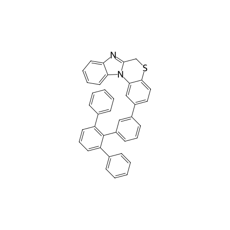 c1ccc(-c2cccc(-c3ccccc3)c2-c2cccc(-c3ccc4c(c3)-n3c(nc5ccccc53)CS4)c2)cc1